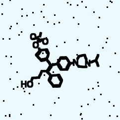 CC(C)N1CCN(c2ccc(/C(=C(/CCCO)c3ccccc3)c3ccc(OS(C)(=O)=O)cc3)cc2)CC1